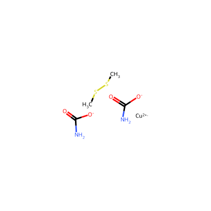 CSSC.NC(=O)[O-].NC(=O)[O-].[Cu+2]